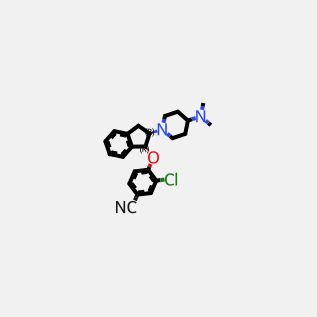 CN(C)C1CCN([C@@H]2Cc3ccccc3[C@H]2Oc2ccc(C#N)cc2Cl)CC1